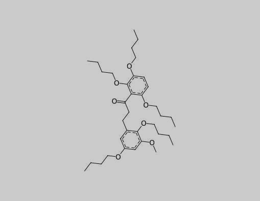 CCCCOc1cc(CCC(=O)c2c(OCCCC)ccc(OCCCC)c2OCCCC)c(OCCCC)c(OC)c1